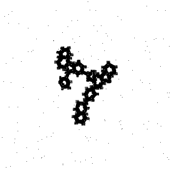 c1ccc(-n2c3cc(-c4nc5c(s4)c(-c4ccc(-c6ccc7ccccc7c6)cc4)cc4sc6ccccc6c45)ccc3c3c4ccccc4ccc32)cc1